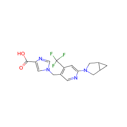 O=C(O)c1cn(Cc2cnc(N3CC4CC4C3)cc2C(F)(F)F)cn1